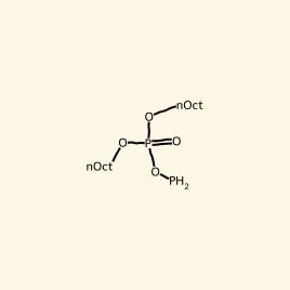 CCCCCCCCOP(=O)(OP)OCCCCCCCC